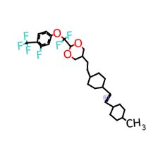 CC1CCC(/C=C/C2CCC(CCC3COC(C(F)(F)Oc4ccc(C(F)(F)F)c(F)c4)OC3)CC2)CC1